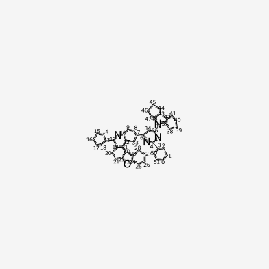 c1ccc(-c2nc(-c3ccc4nc(-c5ccccc5)c5ccc6oc7ccccc7c6c5c4c3)cc(-n3c4ccccc4c4ccccc43)n2)cc1